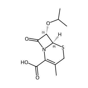 CC1=C(C(=O)O)N2C(=O)[C@H](OC(C)C)[C@H]2SC1